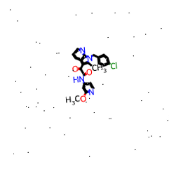 COc1cc(NC(=O)C(=O)c2c(C)n(Cc3ccc(Cl)cc3)c3ncccc23)ccn1